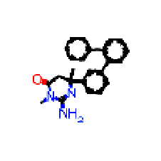 CN1C(=O)CC(C)(c2cccc(-c3ccccc3-c3ccccc3)c2)N=C1N